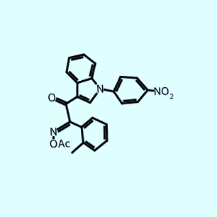 CC(=O)O/N=C(/C(=O)c1cn(-c2ccc([N+](=O)[O-])cc2)c2ccccc12)c1ccccc1C